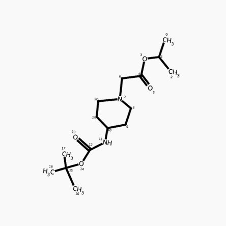 CC(C)OC(=O)CN1CCC(NC(=O)OC(C)(C)C)CC1